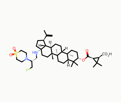 C=C(C)[C@@H]1CC[C@]2(NC[C@H](CF)N3CCS(=O)(=O)CC3)CC[C@]3(C)[C@H](CC[C@@H]4[C@@]5(C)CC[C@H](OC(=O)[C@H]6[C@@H](C(=O)O)C6(C)C)C(C)(C)[C@@H]5CC[C@]43C)[C@@H]12